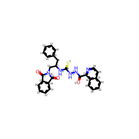 O=C(NNC(=S)NC(Cc1ccccc1)CN1C(=O)c2ccccc2C1=O)c1nccc2c[c]ccc12